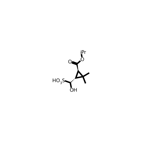 CC(C)OC(=O)[C@@H]1[C@@H](C(O)S(=O)(=O)O)C1(C)C